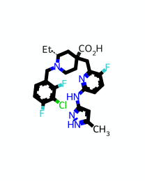 CC[C@@H]1CC(Cc2nc(Nc3cc(C)[nH]n3)ccc2F)(C(=O)O)CCN1Cc1ccc(F)c(Cl)c1F